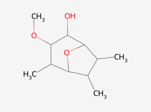 COC1C(C)C2OC(C(C)C2C)C1O